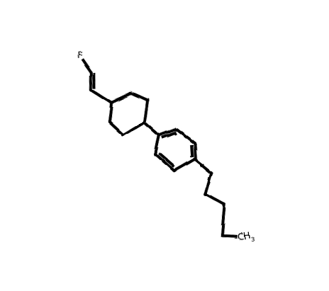 CCCCCc1ccc(C2CCC(C=CF)CC2)cc1